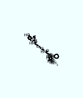 CC(C)(C)OC(=O)[C@H](Cc1ccc(O)cc1)NC(=O)CCOCCOCCNC(=O)CCS(=O)(=O)c1c(F)c(F)c(S(N)(=O)=O)c(F)c1NC1CCCCCCC1